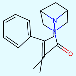 CC=C(CN1C2CC1CN(C(=O)CC)C2)c1ccccc1